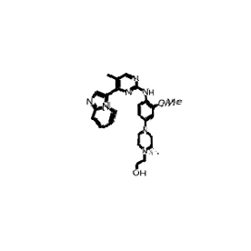 COc1cc(N2CCN(CCO)[C@@H](C)C2)ccc1Nc1ncc(C)c(-c2cnc3ccccn23)n1